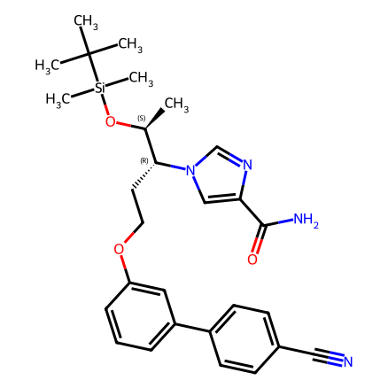 C[C@H](O[Si](C)(C)C(C)(C)C)[C@@H](CCOc1cccc(-c2ccc(C#N)cc2)c1)n1cnc(C(N)=O)c1